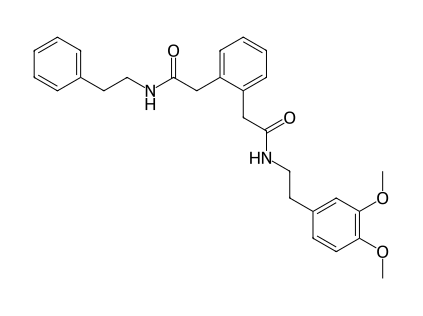 COc1ccc(CCNC(=O)Cc2ccccc2CC(=O)NCCc2ccccc2)cc1OC